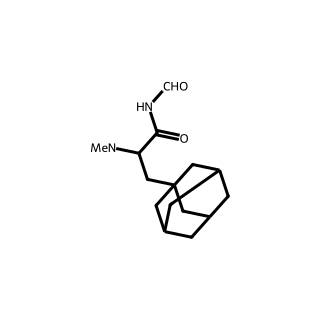 CNC(CC12CC3CC(CC(C3)C1)C2)C(=O)NC=O